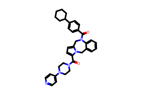 O=C(c1ccc2n1Cc1ccccc1N(C(=O)c1ccc(C3CCCCC3)cc1)C2)N1CCN(c2ccncc2)CC1